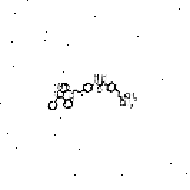 CN(C)CCc1ccc(NC(=O)Nc2ccc(CCNc3ncnc4oc(-c5ccccc5)c(-c5ccccc5)c34)cc2)cc1